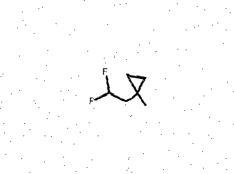 CC1(CC(F)F)CC1